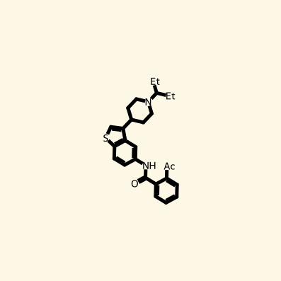 CCC(CC)N1CCC(c2csc3ccc(NC(=O)c4ccccc4C(C)=O)cc23)CC1